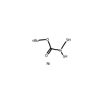 CCCCOC(=O)N(S)S.[Ni]